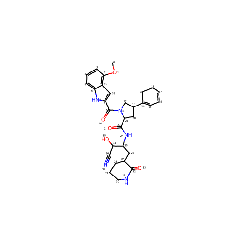 COc1cccc2[nH]c(C(=O)N3CC(C4=CC=CCC4)CC3C(=O)NC(CC3CCCNC3=O)C(O)C#N)cc12